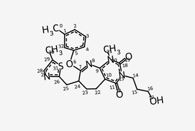 Cc1cccc(OC2=Nc3c(c(=O)n(CCCO)c(=O)n3C)CCC2Cc2ncc(C)s2)c1